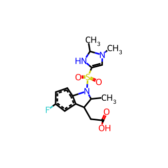 CC1NC(S(=O)(=O)N2c3ccc(F)cc3C(CC(=O)O)C2C)=CN1C